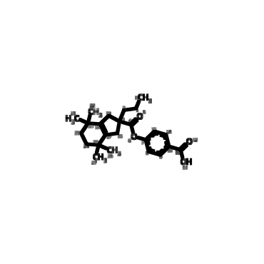 CCCC1(C(=O)Oc2ccc(C(=O)O)cc2)CC2=C(C1)C(C)(C)CCC2(C)C